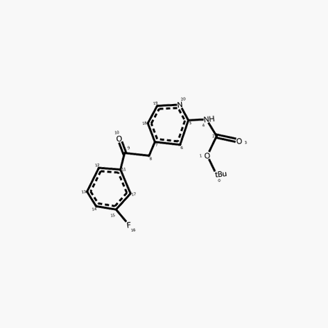 CC(C)(C)OC(=O)Nc1cc(CC(=O)c2cccc(F)c2)ccn1